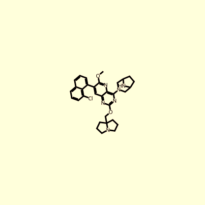 COc1nc2c(N3CC4CCC(C3)N4)nc(OCC34CCCN3CCC4)nc2cc1-c1cccc2cccc(Cl)c12